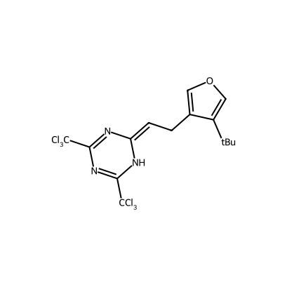 CC(C)(C)c1cocc1CC=C1N=C(C(Cl)(Cl)Cl)N=C(C(Cl)(Cl)Cl)N1